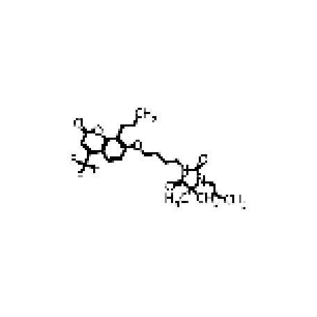 CCCc1c(OCCCCN2C(=O)N(CCC)C(C)(C)C2=O)ccc2c(C(F)(F)F)cc(=O)oc12